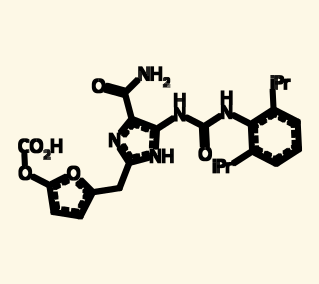 CC(C)c1cccc(C(C)C)c1NC(=O)Nc1[nH]c(Cc2ccc(OC(=O)O)o2)nc1C(N)=O